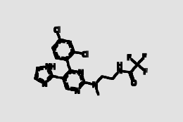 CN(CCNC(=O)C(F)(F)F)c1ncc(-c2ncc[nH]2)c(-c2ccc(Cl)cc2Cl)n1